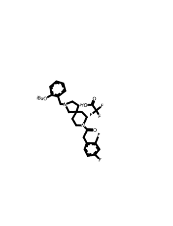 CC(C)COc1ccccc1CN1CCC2(CCN(C(=O)Cc3ccc(F)cc3F)CC2)C1.O=C(O)C(F)(F)F